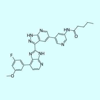 CCCCC(=O)Nc1cncc(-c2cnc3[nH]nc(-c4nc5c(-c6cc(F)cc(OC)c6)ccnc5[nH]4)c3c2)c1